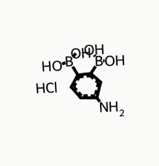 Cl.Nc1ccc(B(O)O)c(B(O)O)c1